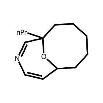 CCCC12C=NC=CC(CCCCC1)O2